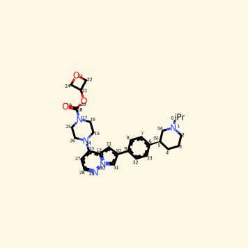 CC(C)N1CCC[C@@H](c2ccc(-c3cc4c(N5CCN(C(=O)OC6COC6)CC5)ccnn4c3)cc2)C1